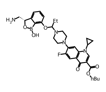 CCCCOC(=O)c1cn(C2CC2)c2cc(N3CCN(C(CC)Oc4cccc5c4B(O)O[C@@H]5CN)CC3)c(F)cc2c1=O